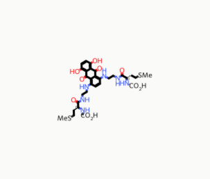 CSCC[C@H](NC(=O)O)C(=O)NCCNc1ccc(NCCNC(=O)[C@H](CCSC)NC(=O)O)c2c1C(=O)c1c(O)ccc(O)c1C2=O